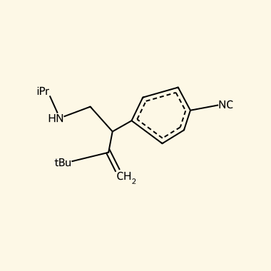 [C-]#[N+]c1ccc(C(CNC(C)C)C(=C)C(C)(C)C)cc1